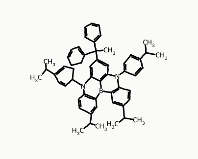 CC(C)C1=CCC(N2c3ccc(C(C)C)cc3B3c4cc(C(C)C)ccc4N(c4ccc(C(C)C)cc4)c4cc(C(C)(C5=CC=CCC5)c5ccccc5)cc2c43)C=C1